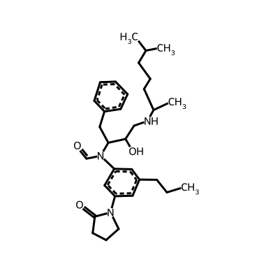 CCCc1cc(N2CCCC2=O)cc(N(C=O)C(Cc2ccccc2)C(O)CNC(C)CCCC(C)C)c1